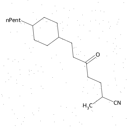 CCCCCC1CCC(CCC(=O)CCC(C)C#N)CC1